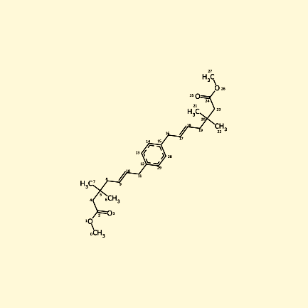 COC(=O)CC(C)(C)C/C=C/Cc1ccc(C/C=C/CC(C)(C)CC(=O)OC)cc1